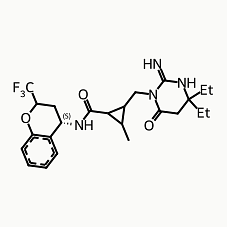 CCC1(CC)CC(=O)N(CC2C(C)C2C(=O)N[C@H]2CC(C(F)(F)F)Oc3ccccc32)C(=N)N1